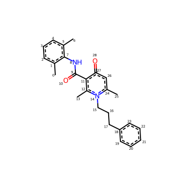 Cc1cccc(C)c1NC(=O)c1c(C)n(CCCc2ccccc2)c(C)cc1=O